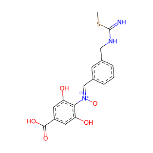 CSC(=N)NCc1cccc(/C=[N+](\[O-])c2c(O)cc(C(=O)O)cc2O)c1